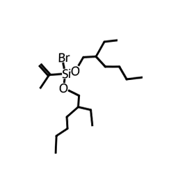 C=C(C)[Si](Br)(OCC(CC)CCCC)OCC(CC)CCCC